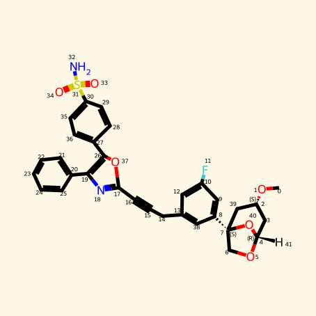 CO[C@@H]1C[C@@H]2OC[C@@](c3cc(F)cc(CC#Cc4nc(-c5ccccc5)c(-c5ccc(S(N)(=O)=O)cc5)o4)c3)(C1)O2